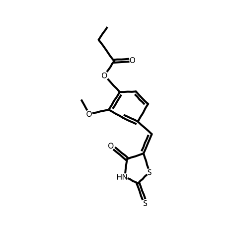 CCC(=O)Oc1ccc(/C=C2/SC(=S)NC2=O)cc1OC